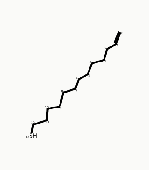 C=CCCCCCCCCCCCS